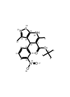 CC1=C(C(=O)OC(C)(C)C)C(c2cccc([N+](=O)[O-])c2)c2c(C)nsc2N1